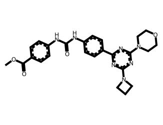 COC(=O)c1ccc(NC(=O)Nc2ccc(-c3nc(N4CCC4)nc(N4CCOCC4)n3)cc2)cc1